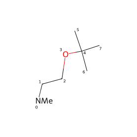 CNCCOC(C)(C)C